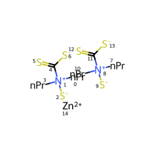 CCC[N+]([S-])(CCC)C(=S)[S-].CCC[N+]([S-])(CCC)C(=S)[S-].[Zn+2]